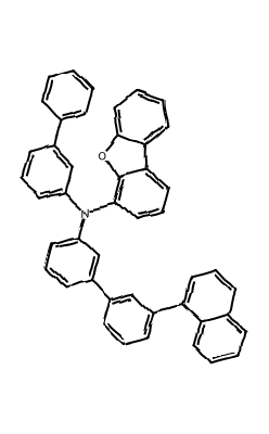 c1ccc(-c2cccc(N(c3cccc(-c4cccc(-c5cccc6ccccc56)c4)c3)c3cccc4c3oc3ccccc34)c2)cc1